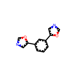 c1cc(-c2cnco2)cc(-c2cnco2)c1